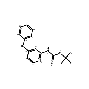 CC(C)(C)OC(=O)Nc1nccc(Nc2ccccc2)n1